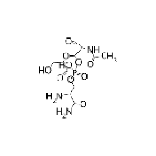 CC(=O)NC(C=O)[C@H](OC(C=O)CO)OP(=O)(O)OCC(N)C(N)=O